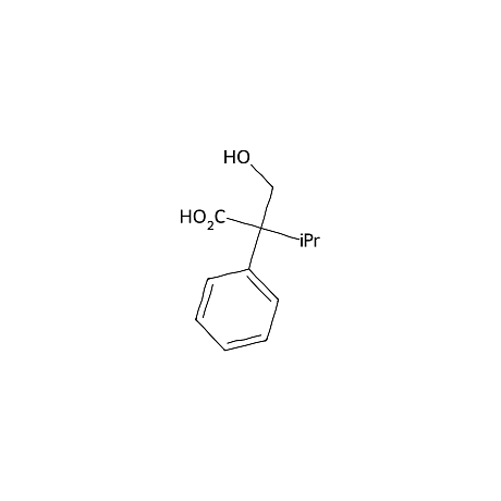 CC(C)C(CO)(C(=O)O)c1ccccc1